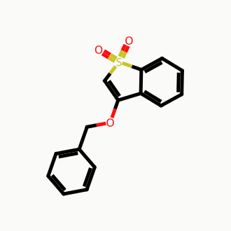 O=S1(=O)C=C(OCc2ccccc2)c2ccccc21